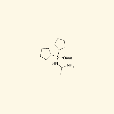 CO[Si](NC(C)N)(C1CCCC1)C1CCCC1